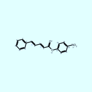 O=C(/C=C/C=C/c1ccccc1)Oc1ccc([N+](=O)[O-])cc1